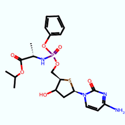 CC(C)OC(=O)[C@H](C)NP(=O)(OC[C@H]1S[C@@H](n2ccc(N)nc2=O)CC1O)Oc1ccccc1